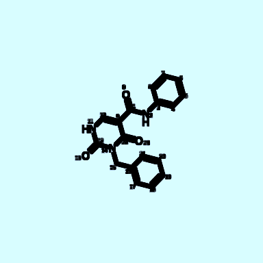 O=C(Nc1ccccc1)c1c[nH]c(=O)n(Cc2ccccc2)c1=O